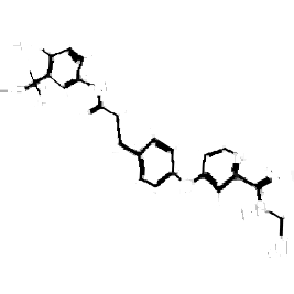 CCNC(=N)c1cc(Oc2ccc(CCC(=O)Nc3ccc(C)c(C(F)(F)F)c3)cc2)ccn1